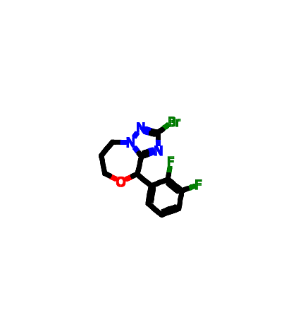 Fc1cccc(C2OCCCn3nc(Br)nc32)c1F